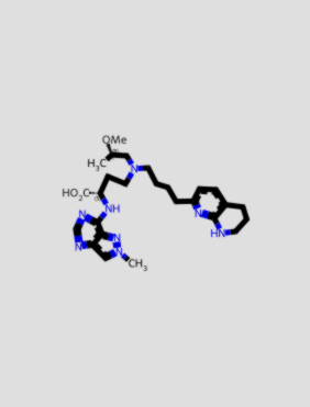 CO[C@H](C)CN(CCCCc1ccc2c(n1)NCCC2)CC[C@H](Nc1ncnc2cn(C)nc12)C(=O)O